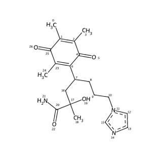 CC1=C(C)C(=O)C(C(CCCn2ccnc2)CC(C)(O)C(N)=O)=C(C)C1=O